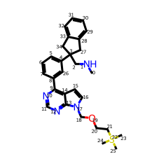 CNCC1(c2cccc(-c3ncnc4c3ccn4COCCS(C)(C)C)c2)Cc2ccccc2C1